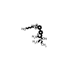 CCCN(CCC)C(O)C1=Cc2ccc(-c3cccc(S(=O)(=O)NCCCCCCO)c3)cc2N=C(N)C1